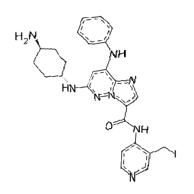 N[C@H]1CC[C@H](Nc2cc(Nc3ccccc3)c3ncc(C(=O)Nc4ccncc4CI)n3n2)CC1